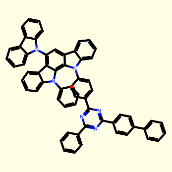 c1ccc(-c2ccc(-c3nc(-c4ccccc4)nc(-c4ccc(-n5c6ccccc6c6cc(-n7c8ccccc8c8ccccc87)c7c8ccccc8n(-c8ccccc8)c7c65)cc4)n3)cc2)cc1